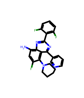 Nc1cc(F)c(N2CCCCC2)c2c(-c3cccnc3)nc(-c3c(F)cccc3F)nc12